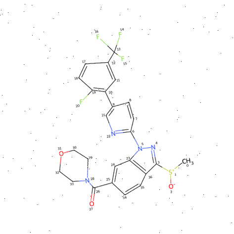 C[S+]([O-])c1nn(-c2ccc(-c3cc(C(F)(F)F)ccc3F)cn2)c2cc(C(=O)N3CCOCC3)ccc12